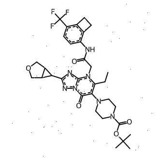 CCc1c(N2CCN(C(=O)OC(C)(C)C)CC2)c(=O)n2nc(C3C4COCC43)nc2n1CC(=O)Nc1ccc(C(F)(F)F)c2c1CC2